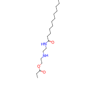 CCCCCCCCCCCC(=O)NCCNCCOC(=O)CC